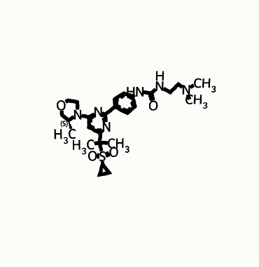 C[C@H]1COCCN1c1cc(C(C)(C)S(=O)(=O)C2CC2)nc(-c2ccc(NC(=O)NCCN(C)C)cc2)n1